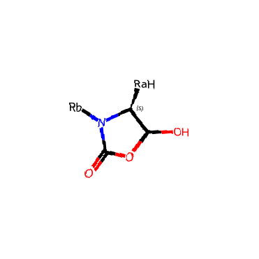 O=C1OC(O)[C@H]([RaH])[N]1[Rb]